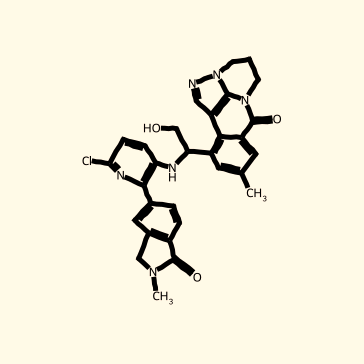 Cc1cc(C(CO)Nc2ccc(Cl)nc2-c2ccc3c(c2)CN(C)C3=O)c2c(c1)c(=O)n1c3c2cnn3CCC1